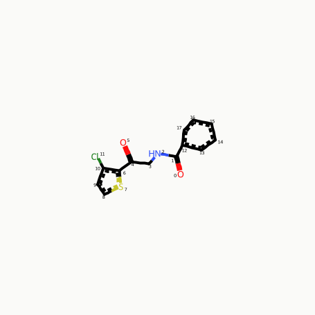 O=C(NCC(=O)c1sccc1Cl)c1ccccc1